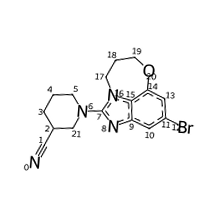 N#CC1CCCN(c2nc3cc(Br)cc4c3n2CCCO4)C1